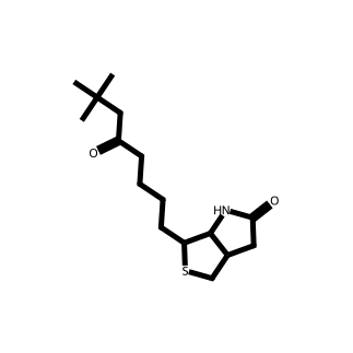 CC(C)(C)CC(=O)CCCCC1SCC2CC(=O)NC21